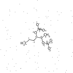 [CH2]CCC(O[N+](=O)[O-])C(C)O[N+](=O)[O-]